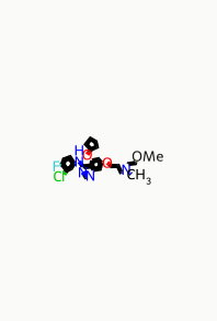 COCCN(C)CCCOc1cc(OC2CCCC2)c2c(Nc3ccc(F)c(Cl)c3)ncnc2c1